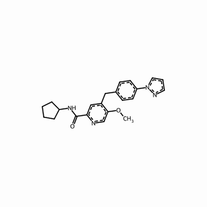 COc1cnc(C(=O)NC2CCCC2)cc1Cc1ccc(-n2cccn2)cc1